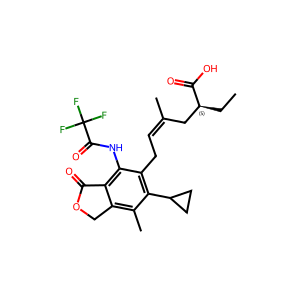 CC[C@@H](CC(C)=CCc1c(NC(=O)C(F)(F)F)c2c(c(C)c1C1CC1)COC2=O)C(=O)O